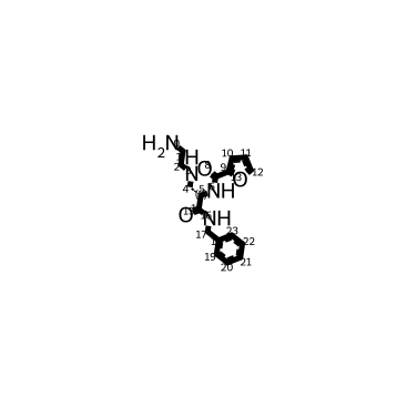 NCCNC[C@H](NC(=O)c1ccco1)C(=O)NCc1ccccc1